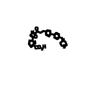 O=C(O)c1cccc(-c2cnc(C(=O)CCc3ccc(-c4ccc(CN5CCSCC5)cc4)cc3)o2)n1